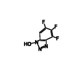 On1nnc2c(F)c(F)c(F)cc21